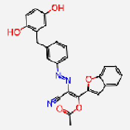 CC(=O)OC(=C(C#N)N=Nc1cccc(Cc2cc(O)ccc2O)c1)c1cc2ccccc2o1